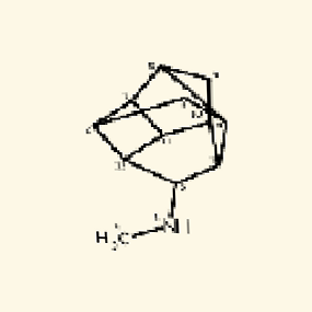 CNC1C2C3CC4C5C3CC2C5C41